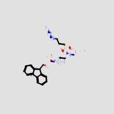 [N-]=[N+]=NCCCS(=O)(=O)N(CCNC(=O)OCC1c2ccccc2-c2ccccc21)CC(=O)O